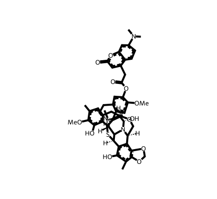 COc1cc2c(cc1OC(=O)Cc1cc(=O)oc3cc(N(C)C)ccc13)CCN[C@]21CS[C@@H]2c3c(O)c(C)c4c(c3[C@H](COC1=O)N1C2[C@@H]2c3c(cc(C)c(OC)c3O)C[C@@H]([C@@H]1O)N2C)OCO4